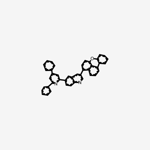 c1ccc(-c2cc(-c3ccccc3)nc(-c3ccc4ncc(-c5ccc6c7c(cccc57)-c5ccccc5O6)cc4c3)c2)cc1